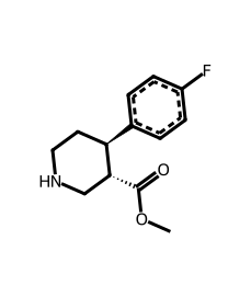 COC(=O)[C@@H]1CNCC[C@H]1c1ccc(F)cc1